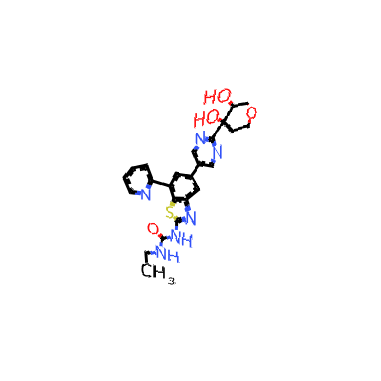 CCNC(=O)Nc1nc2cc(-c3cnc(C4(O)CCOCC4O)nc3)cc(-c3ccccn3)c2s1